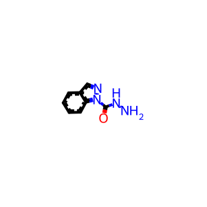 NNC(=O)n1ncc2ccccc21